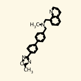 Cc1nc(-c2ccc(-c3ccc(CN(C)Cc4cccc5cccnc45)cc3)cc2)no1